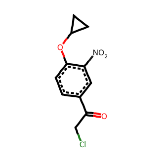 O=C(CCl)c1ccc(OC2CC2)c([N+](=O)[O-])c1